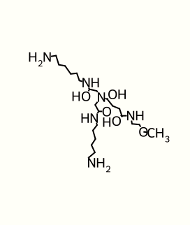 COCCNC(=O)CCC(O)N(CC(O)NCCCCCCN)CC(O)NCCCCCCN